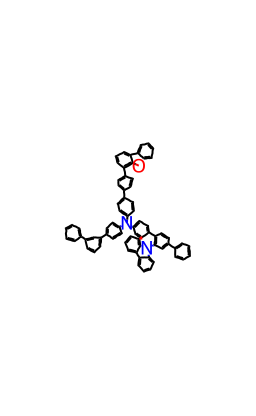 c1ccc(-c2cccc(-c3ccc(N(c4ccc(-c5ccc(-c6cccc7c6oc6ccccc67)cc5)cc4)c4ccc(-c5ccc(-c6ccccc6)cc5-n5c6ccccc6c6ccccc65)cc4)cc3)c2)cc1